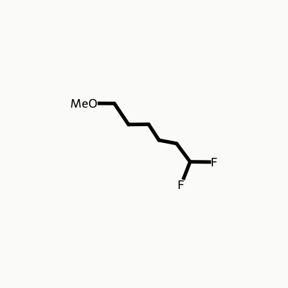 COCCCCCC(F)F